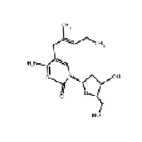 CCC=C(C)Cc1cn([C@H]2CC(O)[C@@H](CO)O2)c(=O)nc1N